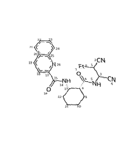 CCC(C#N)C(C#N)NC(=O)[C@@H]1CCCC[C@@H]1NC(=O)c1ccc2ccccc2n1